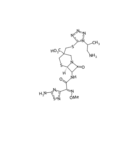 CON=C(C(=O)NC1C(=O)N2CC(CSc3nnnn3C(C)CN)(C(=O)O)CS[C@H]12)c1nsc(N)n1